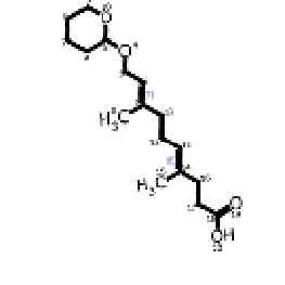 C/C(=C\COC1CCCCO1)CC/C=C(\C)CCC(=O)O